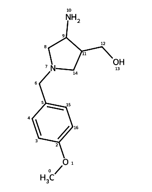 COc1ccc(CN2CC(N)C(CO)C2)cc1